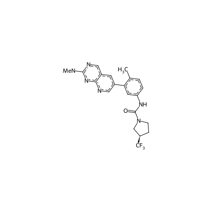 CNc1ncc2cc(-c3cc(NC(=O)N4CC[C@@H](C(F)(F)F)C4)ccc3C)cnc2n1